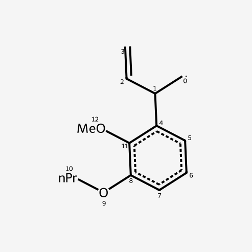 [CH2]C(C=C)c1cccc(OCCC)c1OC